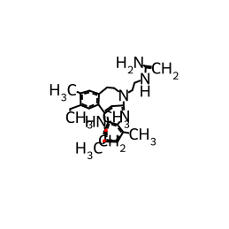 C=CN/C1=C\C(=N/c2c(C)cc(C)cc2C)N(CCNC(=C)N)CCc2cc(C)c(CC)cc21